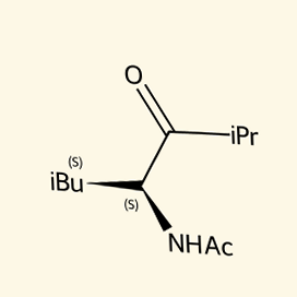 CC[C@H](C)[C@H](NC(C)=O)C(=O)C(C)C